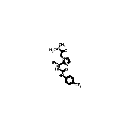 CC(C)[C@H](NC(=O)Nc1ccc(C(F)(F)F)cc1)c1nccn1CC(=O)N(C)C